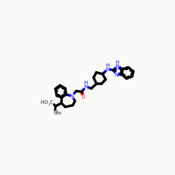 CC(C)(C)C(C(=O)O)C1CCCN(CC(=O)NCC2CCC(Nc3nc4ccccc4[nH]3)CC2)c2ccccc21